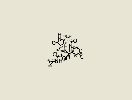 COC(=O)Nc1ccc(Cl)cc1C(=O)N[C@@H](C[C@@H]1C[C@@H](C)NC1=O)C(=O)C(=O)NC1CC1